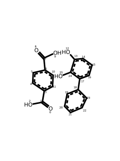 O=C(O)c1ccc(C(=O)O)cc1.Oc1cccc(-c2ccccc2)c1O